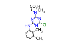 Cc1cccc(Nc2nc(Cl)nc(N(C)CC(=O)O)n2)c1C